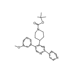 COc1cccc(-c2cnc(-c3ccncc3)nc2C2CCN(C(=O)OC(C)(C)C)CC2)c1